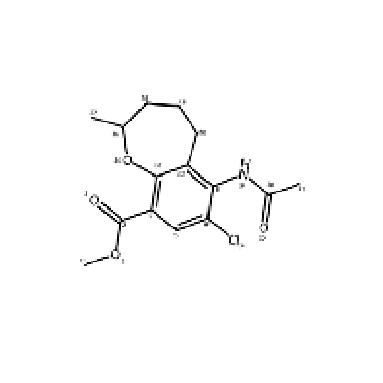 COC(=O)c1cc(Cl)c(NC(C)=O)c2c1OC(C)CCC2